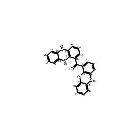 O=C(c1cccc2c1Sc1ccccc1S2)c1cccc2c1Sc1ccccc1S2